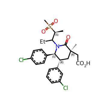 CCC([C@H](C)S(C)(=O)=O)N1C(=O)[C@@](C)(CC(=O)O)C[C@H](c2cccc(Cl)c2)[C@H]1c1ccc(Cl)cc1